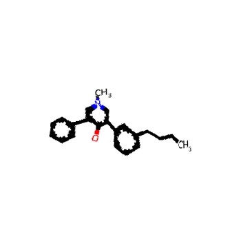 CCCCc1cccc(-c2cn(C)cc(-c3ccccc3)c2=O)c1